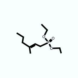 CCCC(C)=CCP(=O)(OCC)OCC